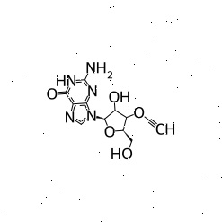 C#COC1C(O)[C@H](n2cnc3c(=O)[nH]c(N)nc32)O[C@@H]1CO